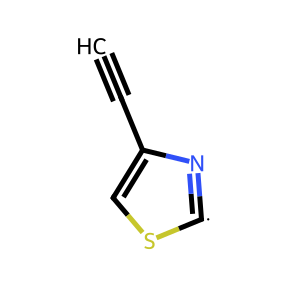 C#Cc1cs[c]n1